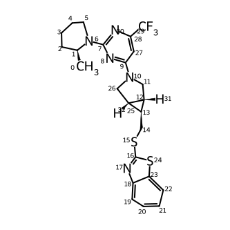 C[C@H]1CCCCN1c1nc(N2C[C@@H]3[C@@H](CSc4nc5ccccc5s4)[C@@H]3C2)cc(C(F)(F)F)n1